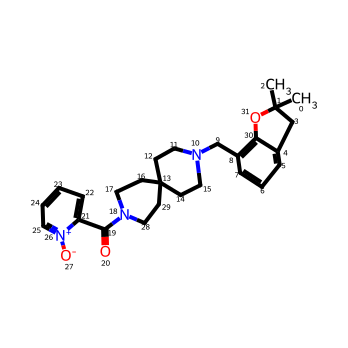 CC1(C)Cc2cccc(CN3CCC4(CC3)CCN(C(=O)c3cccc[n+]3[O-])CC4)c2O1